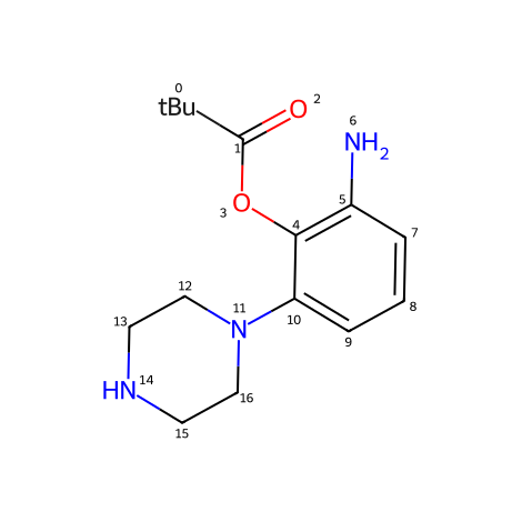 CC(C)(C)C(=O)Oc1c(N)cccc1N1CCNCC1